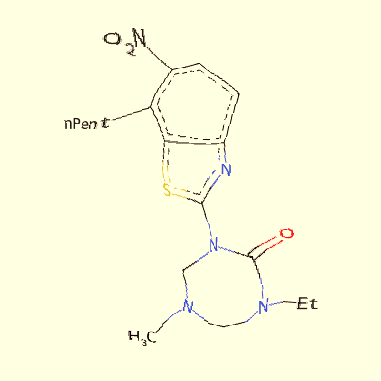 CCCCCc1c([N+](=O)[O-])ccc2nc(N3CN(C)CN(CC)C3=O)sc12